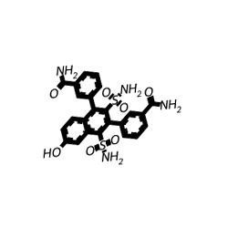 NC(=O)c1cccc(-c2c(S(N)(=O)=O)c(-c3cccc(C(N)=O)c3)c3ccc(O)cc3c2S(N)(=O)=O)c1